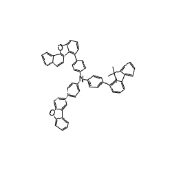 CC1(C)c2ccccc2-c2cccc(-c3ccc(N(c4ccc(-c5ccc6oc7ccccc7c6c5)cc4)c4ccc(-c5cccc6oc7c8ccccc8ccc7c56)cc4)cc3)c21